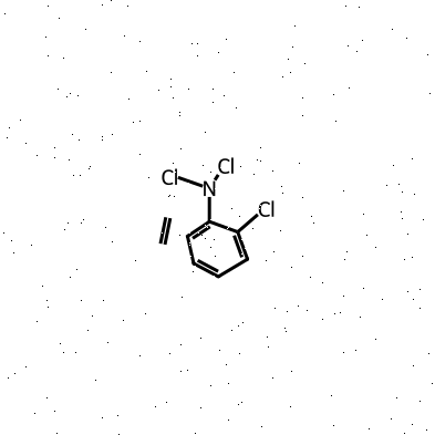 C=C.Clc1ccccc1N(Cl)Cl